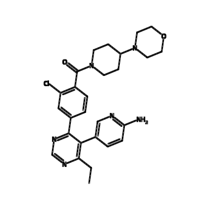 CCc1ncnc(-c2ccc(C(=O)N3CCC(N4CCOCC4)CC3)c(Cl)c2)c1-c1ccc(N)nc1